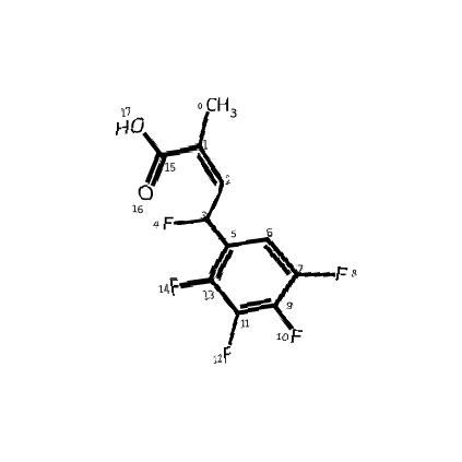 CC(=CC(F)c1cc(F)c(F)c(F)c1F)C(=O)O